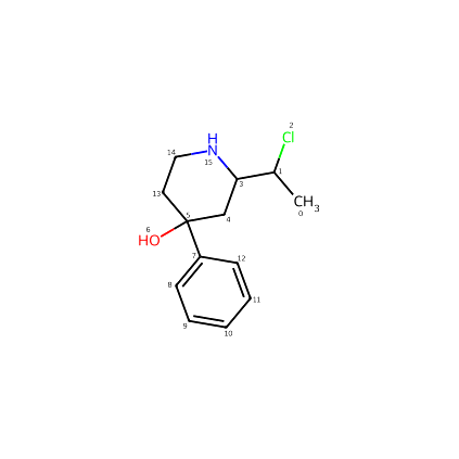 CC(Cl)C1CC(O)(c2ccccc2)CCN1